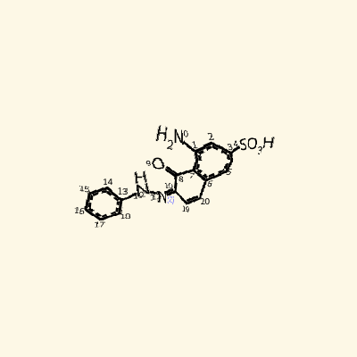 Nc1cc(S(=O)(=O)O)cc2c1C(=O)/C(=N\Nc1ccccc1)C=C2